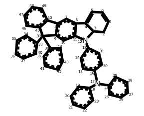 C1=CCC2C(=C1)c1cc3c(cc1N2c1ccc(N(c2ccccc2)c2ccccc2)cc1)C(c1ccccc1)(c1ccccc1)c1ccccc1-3